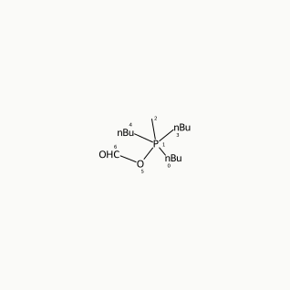 CCCCP(C)(CCCC)(CCCC)OC=O